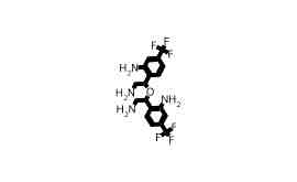 NCC(OC(CN)c1ccc(C(F)(F)F)cc1N)c1ccc(C(F)(F)F)cc1N